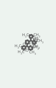 Cc1cc(C)c(O)c(C(c2cccc(C(c3cc(C)cc(C)c3O)c3cc(C)cc(C)c3O)c2C)c2cc(C)cc(C)c2O)c1